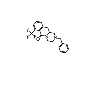 O=C1c2c(cccc2C(F)(F)F)CC2CN(Cc3ccccc3)CCN12